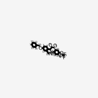 O=CC(=O)C1=c2ccc(OCc3ccccc3)cc2=CNN1c1ccc(OC(F)(F)F)cc1